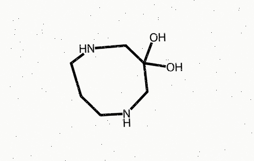 OC1(O)CNCCCNC1